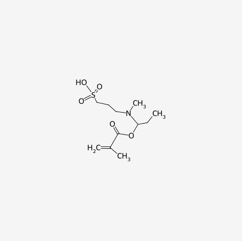 C=C(C)C(=O)OC(CC)N(C)CCCS(=O)(=O)O